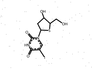 O=c1[nH]c(=O)n(C2CC(O)C(CO)S2)cc1I